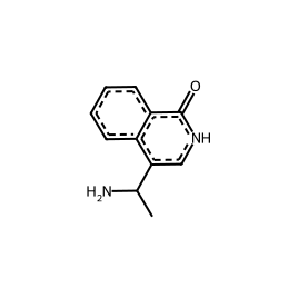 CC(N)c1c[nH]c(=O)c2ccccc12